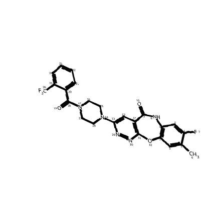 Cc1cc2c(cc1F)NC(=O)c1cc(N3CCN(C(=O)c4ccccc4C(F)(F)F)CC3)nnc1O2